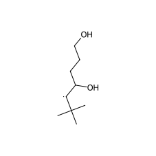 CC(C)(C)[CH]C(O)CCCO